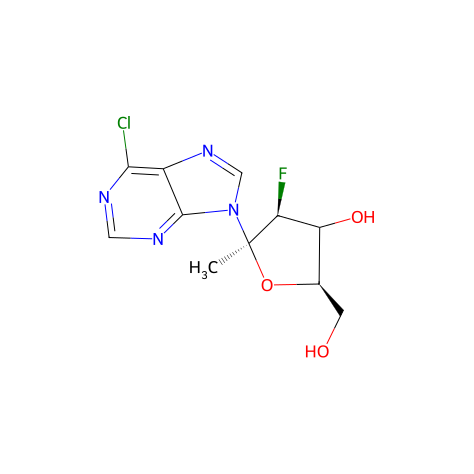 C[C@@]1(n2cnc3c(Cl)ncnc32)O[C@H](CO)C(O)[C@@H]1F